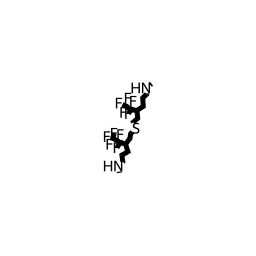 CNCCCC(CCSCCC(CCCNC)C(F)(F)C(F)(F)F)C(F)(F)C(F)(F)F